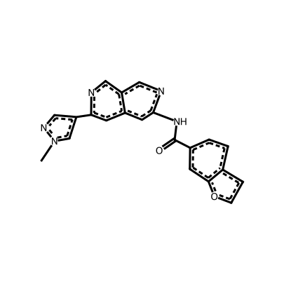 Cn1cc(-c2cc3cc(NC(=O)c4ccc5ccoc5c4)ncc3cn2)cn1